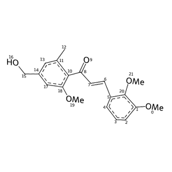 COc1cccc(/C=C/C(=O)c2c(C)cc(CO)cc2OC)c1OC